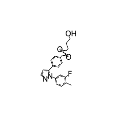 Cc1ccc(-n2nccc2-c2ccc(S(=O)(=O)CCCO)cc2)cc1F